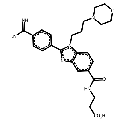 N=C(N)c1ccc(-c2nc3cc(C(=O)NCCC(=O)O)ccc3n2CCCN2CCOCC2)cc1